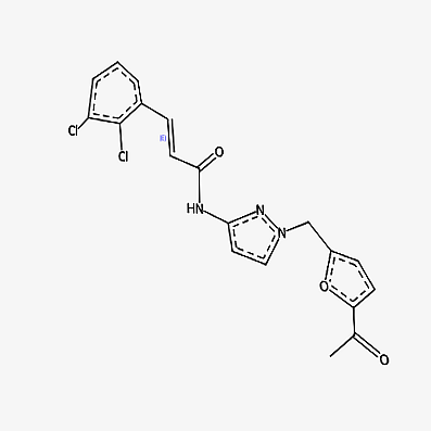 CC(=O)c1ccc(Cn2ccc(NC(=O)/C=C/c3cccc(Cl)c3Cl)n2)o1